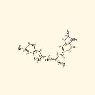 N[C@H](CNc1cncc(-c2ccc3c(c2)CC(=O)N3)n1)Cc1ccc(Br)cc1